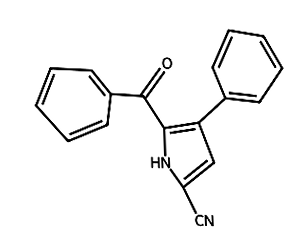 N#Cc1cc(-c2ccccc2)c(C(=O)c2ccccc2)[nH]1